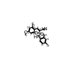 COc1ccc(C=C(C#N)S(=O)(=O)Nc2ccc(C)cc2C)c(F)c1